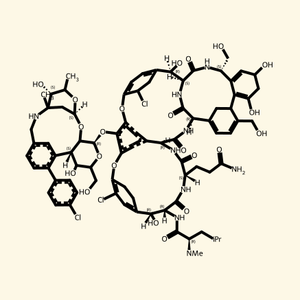 CN[C@H](CC(C)C)C(=O)N[C@H]1C(=O)N[C@@H](CCC(N)=O)C(=O)N[C@H]2C(=O)N[C@H]3C(=O)N[C@H](C(=O)N[C@H](CO)C4=CC(O)CC(O)=C4C4CC3=CC=C4CO)[C@H](O)C3=CC=C(Oc4cc2cc(c4O[C@H]2OC(CO)C(O)[C@@H]4c5cc(ccc5-c5ccc(Cl)cc5)CNC5(C)C[C@H](OC24)OC(C)[C@H]5O)OC2=C(Cl)C=C(CC2)[C@H]1O)C(Cl)C3